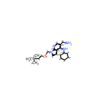 C[Si](C)(C)CCOCn1ccc2c(NC3CCCCC3)c(CN)cnc21